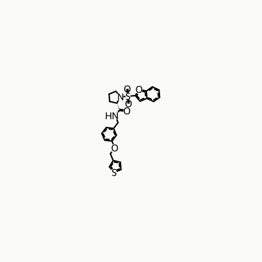 O=C(NCc1cccc(OCc2ccsc2)c1)[C@@H]1CCCN1S(=O)(=O)c1cc2ccccc2o1